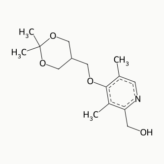 Cc1cnc(CO)c(C)c1OCC1COC(C)(C)OC1